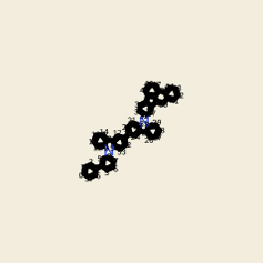 c1ccc(-c2cccc(-n3c4ccccc4c4cc(-c5ccc6c(c5)c5ccccc5n6-c5ccc6c(c5)-c5cc7ccccc7c7cccc-6c57)ccc43)c2)cc1